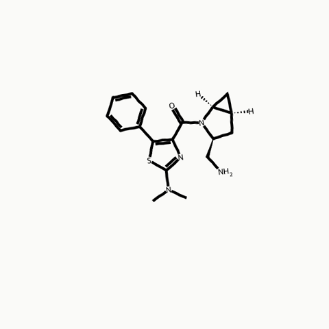 CN(C)c1nc(C(=O)N2[C@H](CN)C[C@@H]3C[C@@H]32)c(-c2ccccc2)s1